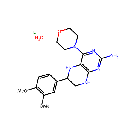 COc1ccc(C2CNc3nc(N)nc(N4CCOCC4)c3N2)cc1OC.Cl.O